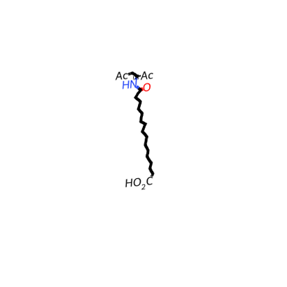 CC(=O)C[C@H](NC(=O)CCCCCCCCCCCCCCC(=O)O)C(C)=O